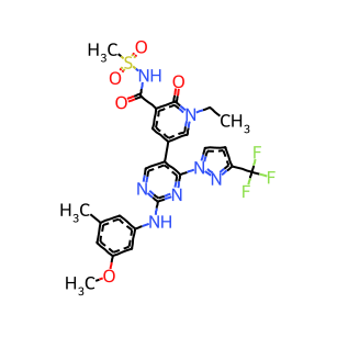 CCn1cc(-c2cnc(Nc3cc(C)cc(OC)c3)nc2-n2ccc(C(F)(F)F)n2)cc(C(=O)NS(C)(=O)=O)c1=O